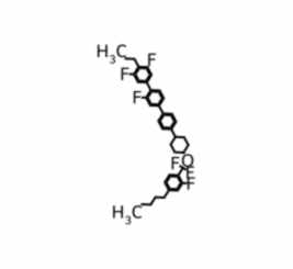 CCCCCc1ccc(C(F)(F)OC2CCC(c3ccc(-c4ccc(-c5cc(F)c(CCC)c(F)c5)c(F)c4)cc3)CC2)c(F)c1